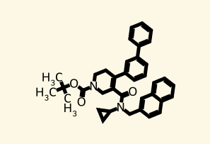 CC(C)(C)OC(=O)N1CCC(c2cccc(-c3ccccc3)c2)=C(C(=O)N(Cc2ccc3ccccc3c2)C2CC2)C1